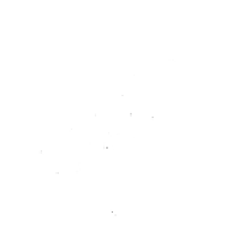 NCc1cn(S(=O)(=O)c2ccc(Br)cc2)c2ccccc12